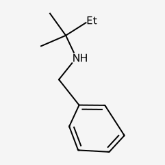 CCC(C)(C)NCc1ccccc1